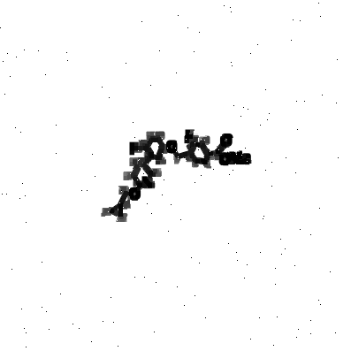 COC(=O)c1ccc(COc2ccc(F)c(-c3ccc(OCC4CC4)nc3)c2)c(F)c1